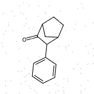 O=C1C2CCC(C2)C1c1ccccc1